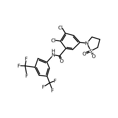 O=C(Nc1cc(C(F)(F)F)cc(C(F)(F)F)c1)c1cc(N2CCCS2(=O)=O)cc(Cl)c1Cl